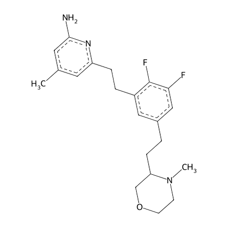 Cc1cc(N)nc(CCc2cc(CCC3COCCN3C)cc(F)c2F)c1